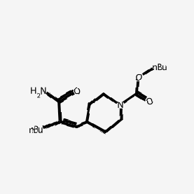 CCCCOC(=O)N1CCC(C=C(CCCC)C(N)=O)CC1